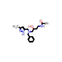 Cc1cc(CN(Cc2ccccc2)CC(O)CCNC(=O)C(C)C)[nH]n1